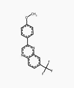 COc1ccc(-c2cnc3ccc(C(F)(F)F)cc3n2)cc1